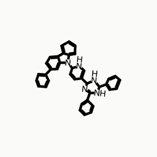 C1=CC(n2c3ccccc3c3ccc(-c4ccccc4)cc32)NC=C1C1N=C(c2ccccc2)NC(c2ccccc2)N1